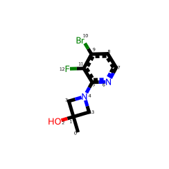 CC1(O)CN(c2nccc(Br)c2F)C1